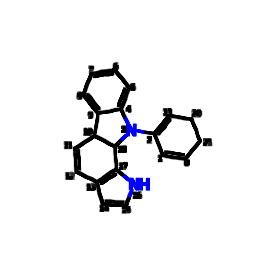 C1=CC(N2c3ccccc3C3C=Cc4cc[nH]c4C32)=CCC1